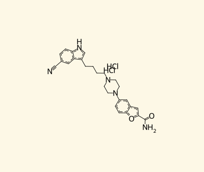 Cl.Cl.N#Cc1ccc2[nH]cc(CCCCN3CCN(c4ccc5oc(C(N)=O)cc5c4)CC3)c2c1